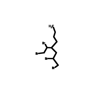 CCCCC(CC(Br)CBr)C(Br)CBr